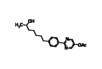 CC(=O)Oc1cnc(-c2ccc(CCCCCC(C)O)cc2)nc1